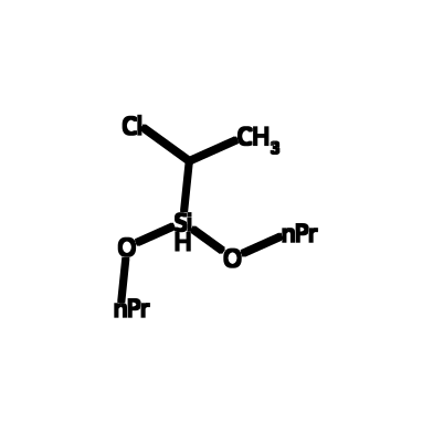 CCCO[SiH](OCCC)C(C)Cl